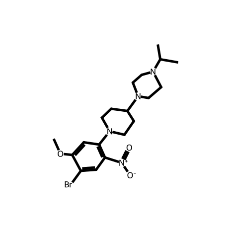 COc1cc(N2CCC(N3CCN(C(C)C)CC3)CC2)c([N+](=O)[O-])cc1Br